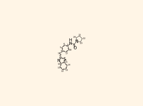 O=C(Nc1ccc(Sc2nc3ccccc3s2)cc1)N1CCCC1